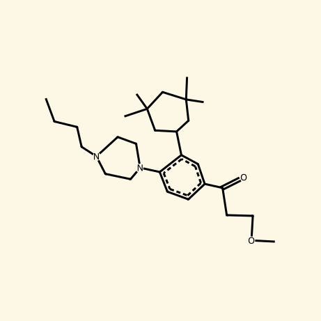 CCCCN1CCN(c2ccc(C(=O)CCOC)cc2C2CC(C)(C)CC(C)(C)C2)CC1